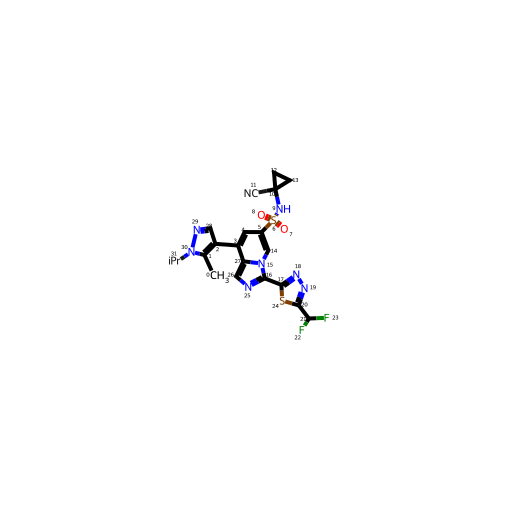 Cc1c(-c2cc(S(=O)(=O)NC3(C#N)CC3)cn3c(-c4nnc(C(F)F)s4)ncc23)cnn1C(C)C